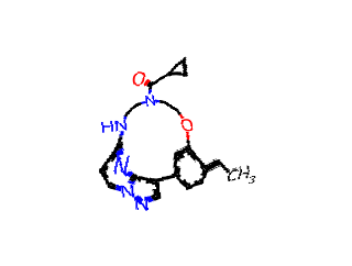 CCc1ccc2cc1OCCN(C(=O)C1CC1)CCNc1ccn3ncc-2c3n1